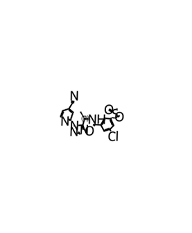 C[C@@H](NC(=O)c1cc(Cl)cc(S(C)(=O)=O)c1)c1ncnn1-c1cc(C#N)ccn1